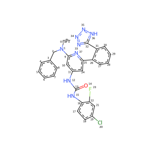 CCCN(Cc1ccccc1)c1cc(NC(=O)Nc2ccc(Cl)cc2F)cc(-c2ccccc2-c2nnn[nH]2)n1